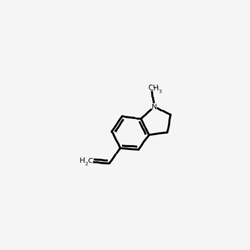 C=Cc1ccc2c(c1)CCN2C